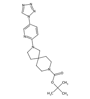 CC(C)(C)OC(=O)N1CCC2(CC1)CCN(c1ccc(-n3cnnn3)cn1)C2